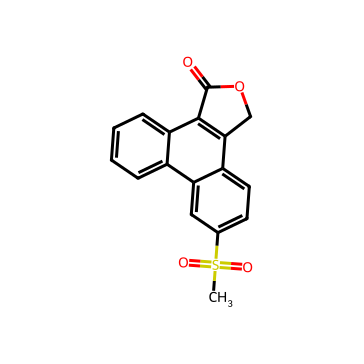 CS(=O)(=O)c1ccc2c3c(c4ccccc4c2c1)C(=O)OC3